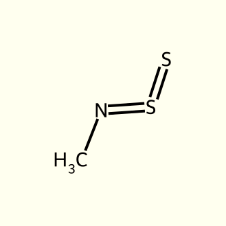 CN=S=S